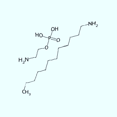 CCCCCCCCCCCCN.NCCOP(=O)(O)O